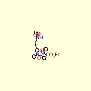 CCOC(=O)CC(c1ccccc1)N1C(=O)c2cc(C#CCCCNC(=O)OC(C)(C)C)ccc2N(c2ccccc2)C(=O)C1c1ccccc1